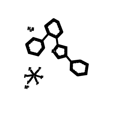 F[P-](F)(F)(F)(F)F.S.[H+].c1ccc(-c2csc(-c3ccccc3-c3ccccc3)c2)cc1